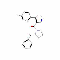 Cc1ccc(-c2oncc2C(=O)N2CCC[C@@H]2C(O)c2ccccc2)cc1